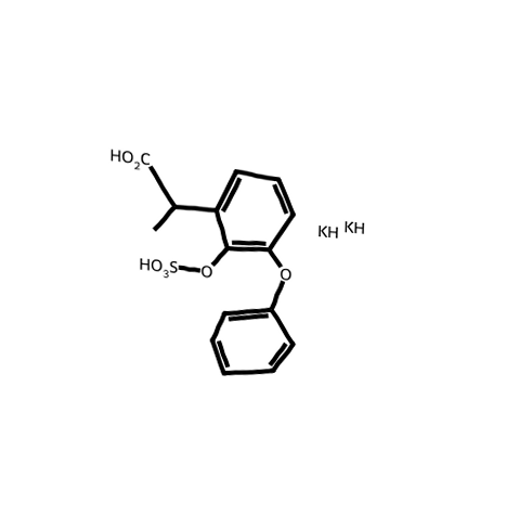 CC(C(=O)O)c1cccc(Oc2ccccc2)c1OS(=O)(=O)O.[KH].[KH]